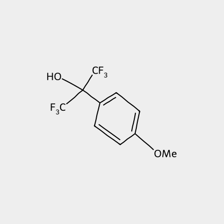 COc1ccc(C(O)(C(F)(F)F)C(F)(F)F)cc1